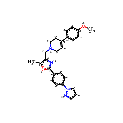 Cc1oc(-c2ccc(-n3cccn3)cc2)nc1CN1CC=C(c2ccc(OC(F)(F)F)cc2)CC1